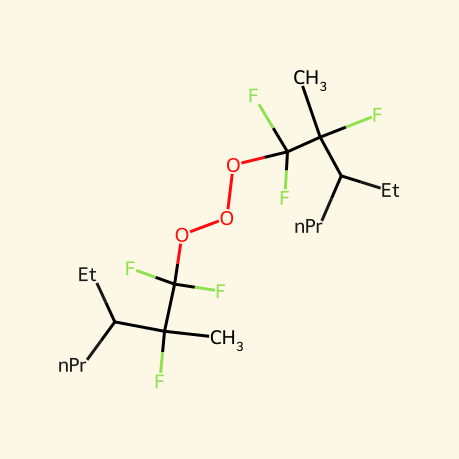 CCCC(CC)C(C)(F)C(F)(F)OOOC(F)(F)C(C)(F)C(CC)CCC